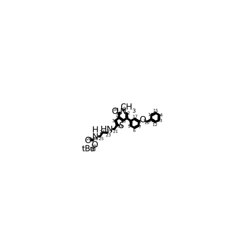 Cn1cc(-c2cccc(OCc3ccccc3)c2)c2sc(CNCCCNC(=O)OC(C)(C)C)cc2c1=O